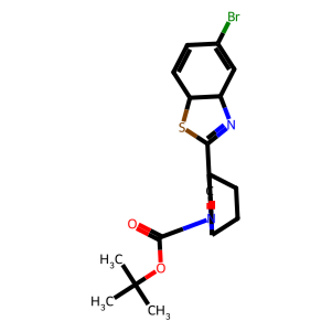 CC(C)(C)OC(=O)N1CC2(C3=NC4C=C(Br)C=CC4S3)CCC1CC2